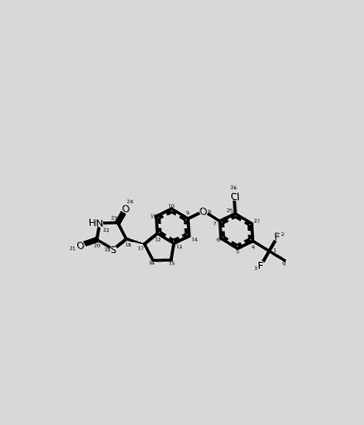 CC(F)(F)c1ccc(Oc2ccc3c(c2)CC[C@H]3C2SC(=O)NC2=O)c(Cl)c1